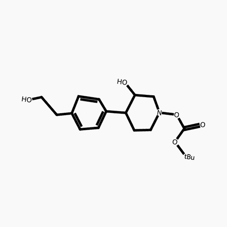 CC(C)(C)OC(=O)ON1CCC(c2ccc(CCO)cc2)C(O)C1